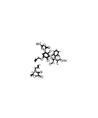 C#CCOc1cc(-n2nc(C(C)(C)C)oc2=O)c(Cl)cc1Cl.C=CCN(CC=C)C(=O)C(Cl)Cl.CCc1cccc(C)c1N(C(=O)CCl)C(C)COC